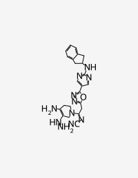 N#C/N=C(/Cc1nnc(-c2cnc(NC3Cc4ccccc4C3)nc2)o1)N1CCC(N)=C(NN)C1